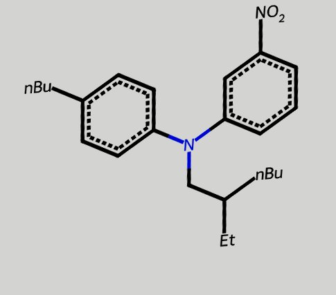 CCCCc1ccc(N(CC(CC)CCCC)c2cccc([N+](=O)[O-])c2)cc1